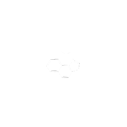 OBO.c1ccc2c(c1)ccc1scnc12